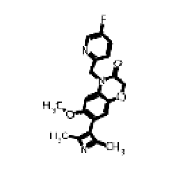 COc1cc2c(cc1C1=C(C)N=C1C)OCC(=O)N2Cc1ccc(F)cn1